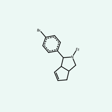 CCN1CC2CC=CC2C1c1ccc(Br)cc1